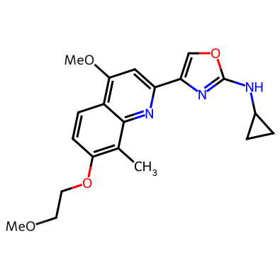 COCCOc1ccc2c(OC)cc(-c3coc(NC4CC4)n3)nc2c1C